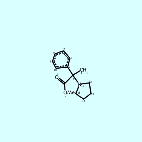 COC(=O)C(C)(c1ccccc1)N1CCCC1